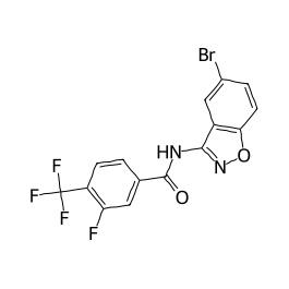 O=C(Nc1noc2ccc(Br)cc12)c1ccc(C(F)(F)F)c(F)c1